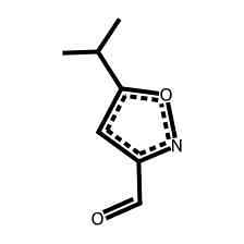 CC(C)c1cc(C=O)no1